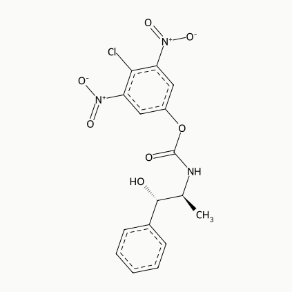 C[C@H](NC(=O)Oc1cc([N+](=O)[O-])c(Cl)c([N+](=O)[O-])c1)[C@@H](O)c1ccccc1